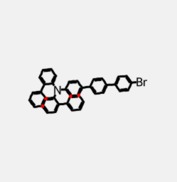 Brc1ccc(-c2ccc(-c3ccc(N(c4ccccc4-c4ccccc4)c4ccccc4-c4ccccc4)cc3)cc2)cc1